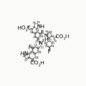 O=C(O)C(Cc1cc(F)cc(CN(Cc2cc(F)cc(CC(C(=O)O)C3CCNC3)c2)Cc2cc(F)cc(CC(C(=O)O)C3CCNC3)c2)c1)C1CCNC1